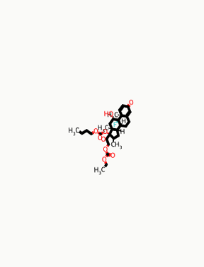 CCCCOC(=O)O[C@]1(C(=O)COC(=O)OCC)[C@H](C)C[C@H]2[C@@H]3CCC4=CC(=O)C=C[C@]4(C)[C@@]3(F)[C@@H](O)C[C@@]21C